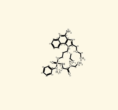 CCC[C@H](CCOP(=O)(N[C@@H](C)C(=O)OCC)Oc1ccccc1)n1c(COCC)nc2c(N)nc3ccccc3c21